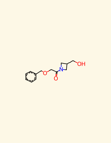 O=C(COCc1ccccc1)N1CC(CO)C1